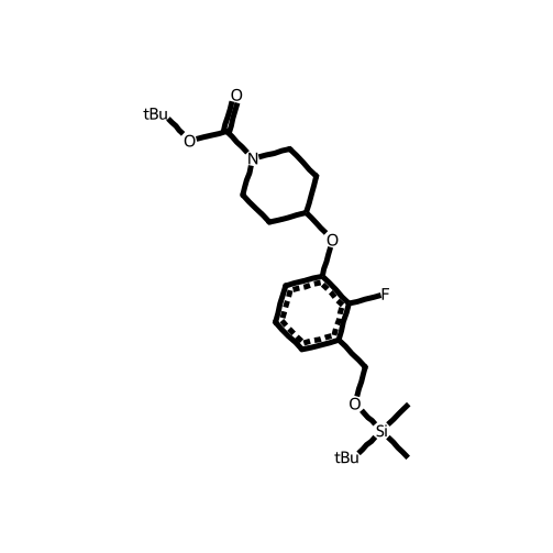 CC(C)(C)OC(=O)N1CCC(Oc2cccc(CO[Si](C)(C)C(C)(C)C)c2F)CC1